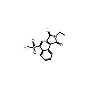 CCN1C(=O)c2cc(S(=O)(=O)O)c3ccccc3c2C1=O